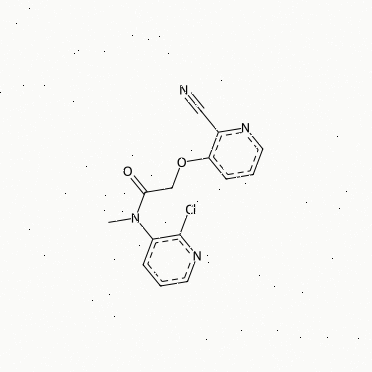 CN(C(=O)COc1cccnc1C#N)c1cccnc1Cl